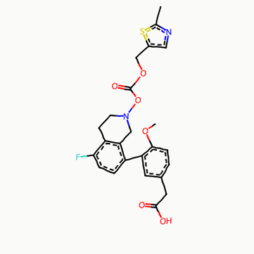 COc1ccc(CC(=O)O)cc1-c1ccc(F)c2c1CN(OC(=O)OCc1cnc(C)s1)CC2